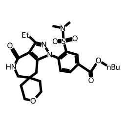 CCCCOC(=O)c1ccc(-n2nc(CC)c3c2CC2(CCOCC2)CNC3=O)c(S(=O)(=O)N(C)C)c1